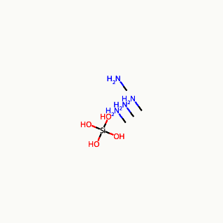 CN.CN.CN.CN.O[Si](O)(O)O